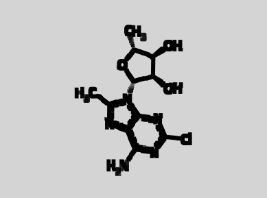 Cc1nc2c(N)nc(Cl)nc2n1[C@@H]1O[C@H](C)[C@@H](O)[C@H]1O